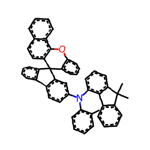 Cc1ccccc1N(c1ccc2c(c1)C1(c3ccccc3Oc3c1ccc1ccccc31)c1ccccc1-2)c1cccc2c1-c1ccccc1C2(C)C